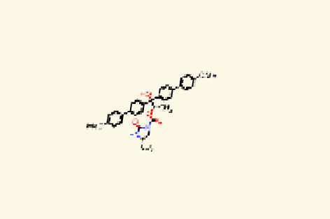 COc1ccc(-c2ccc(C(O)(c3ccc(-c4ccc(OC)cc4)cc3)[C@H](C)OC(=O)N3CC(C(=O)O)NC3=O)cc2)cc1